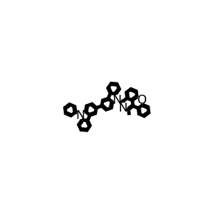 Cc1nc(-n2c3ccccc3c3cc(-c4ccc5c(c4)c4ccccc4n5-c4ccccc4)ccc32)c2cccc3c2c1-c1ccccc1O3